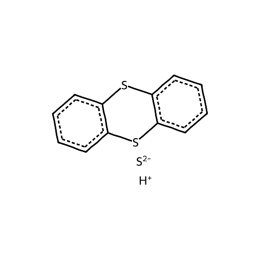 [H+].[S-2].c1ccc2c(c1)Sc1ccccc1S2